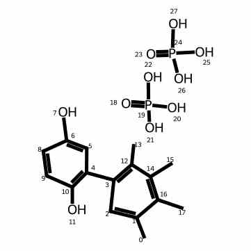 Cc1cc(-c2cc(O)ccc2O)c(C)c(C)c1C.O=P(O)(O)O.O=P(O)(O)O